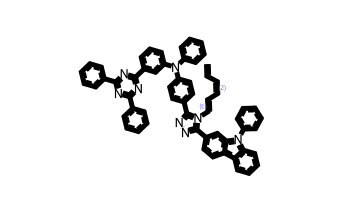 C=C/C=C\C=C\n1c(-c2ccc(N(c3ccccc3)c3cccc(-c4nc(-c5ccccc5)nc(-c5ccccc5)n4)c3)cc2)nnc1-c1ccc2c3ccccc3n(-c3ccccc3)c2c1